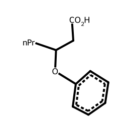 CCCC(CC(=O)O)Oc1ccccc1